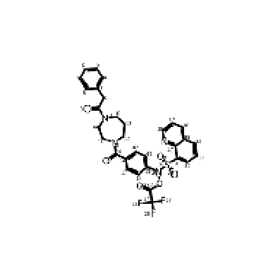 O=C(Cc1ccccc1)N1CCCN(C(=O)c2ccc(N(OC(=O)C(F)(F)F)S(=O)(=O)c3cccc4cccnc34)cc2)CC1